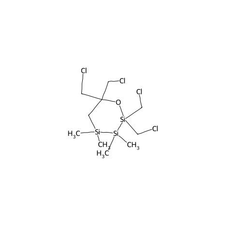 C[Si]1(C)CC(CCl)(CCl)O[Si](CCl)(CCl)[Si]1(C)C